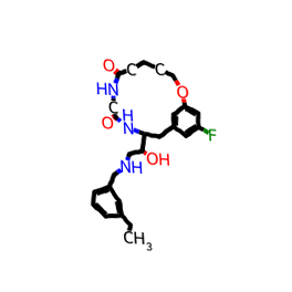 CCc1cccc(CNCC(O)C2Cc3cc(F)cc(c3)OCCCCC(=O)NCC(=O)N2)c1